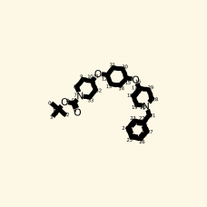 CC(C)(C)OC(=O)N1CCC(OC2CCC(OC3=CCN(Cc4ccccc4)CC3)CC2)CC1